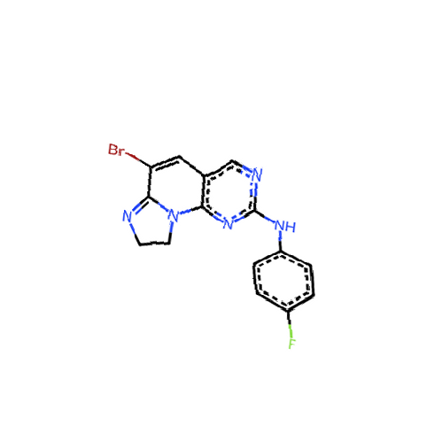 Fc1ccc(Nc2ncc3c(n2)N2CCN=C2C(Br)=C3)cc1